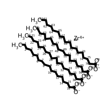 CCCCCCCCCCCCCCCCCC(=O)[O-].CCCCCCCCCCCCCCCCCC(=O)[O-].CCCCCCCCCCCCCCCCCC(=O)[O-].CCCCCCCCCCCCCCCCCC(=O)[O-].[Zr+4]